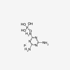 Nc1nc(N)nc(N)n1.O=P(O)(O)O.[P]